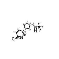 CC(C)(C)NCC1CCN(c2ccc(Cl)nn2)C1